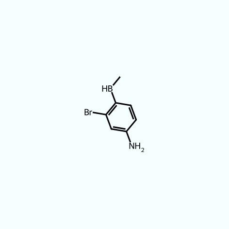 CBc1ccc(N)cc1Br